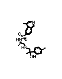 Cc1cncc2ccc(S(=O)(=O)N[C@H](C)CNCC(C)(O)c3ccc(F)cc3)cc12